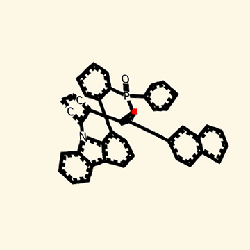 O=P1(c2ccccc2)c2ccccc2C2(c3ccccc3-n3c4ccccc4c4cccc2c43)c2ccc(-c3ccc4ccccc4c3)cc21